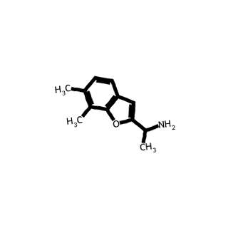 Cc1ccc2cc(C(C)N)oc2c1C